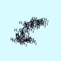 C[SiH](C)O[Si](C)(CCC[Si](C)(C)O[Si](C)(CCC[Si](C)(C)O[Si](C)(C)O[Si](C)(C)CCC[Si](C)(O[SiH](C)C)O[Si](C)(C)CCC[Si](C)(O[SiH](C)C)O[Si](C)(C)CCC[Si](C)(O[SiH](C)C)O[SiH](C)C)O[SiH](C)C)O[SiH](C)C